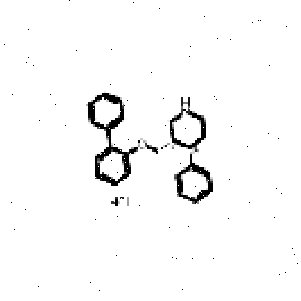 Cl.c1ccc(-c2ccccc2OC[C@@H]2CNCC[C@H]2c2ccccc2)cc1